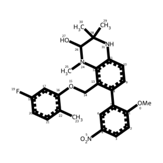 COc1ccc([N+](=O)[O-])cc1-c1ccc2c(c1COc1cc(F)ccc1C)N(C)C(O)C(C)(C)N2